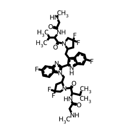 CNCC(=O)NC(C(=O)N1CC(F)(F)CC1Cc1c(-c2nc3cc(F)ccc3n2CC2CC(F)(F)CN2C(=O)C(NC(=O)CNC)C(C)C)[nH]c2cc(F)ccc12)C(C)C